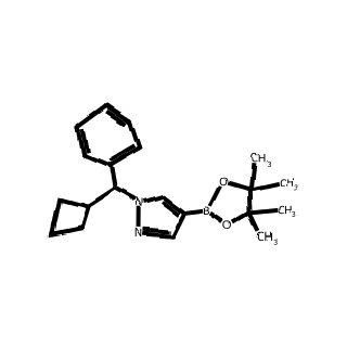 CC1(C)OB(c2cnn(C(c3ccccc3)C3CCC3)c2)OC1(C)C